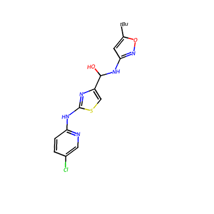 CC(C)(C)c1cc(NC(O)c2csc(Nc3ccc(Cl)cn3)n2)no1